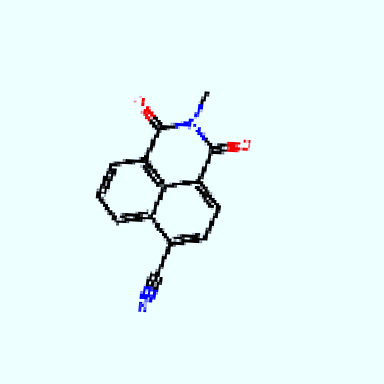 CN1C(=O)c2cccc3c(C#N)ccc(c23)C1=O